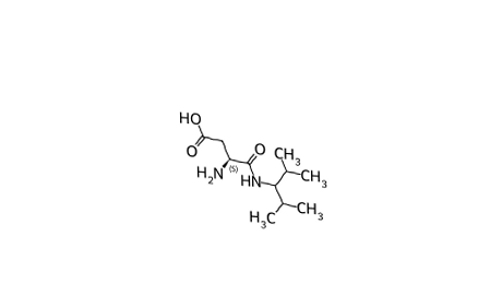 CC(C)C(NC(=O)[C@@H](N)CC(=O)O)C(C)C